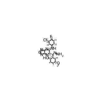 COc1ccc(O)c(C(=NN)c2nc3nonc3nc2Nc2ccc(F)c(Cl)c2)c1